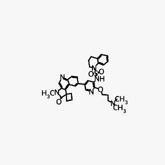 CN(C)CCCOc1ncc(-c2ccc3ncc4c(c3c2)C2(CCC2)C(=O)N4C)cc1NS(=O)(=O)N1CCCc2ccccc21